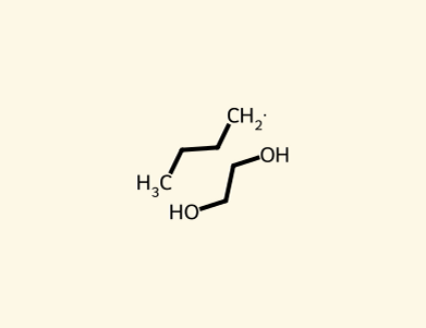 OCCO.[CH2]CCC